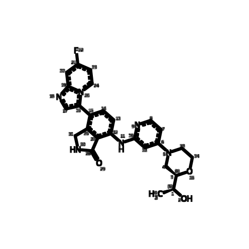 C[C@H](O)[C@H]1CN(c2ccnc(Nc3ccc(-c4cnc5cc(F)ccn45)c4c3C(=O)NC4)c2)CCO1